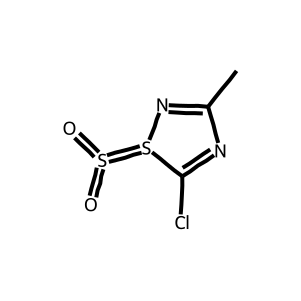 CC1=NS(=S(=O)=O)C(Cl)=N1